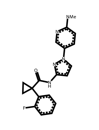 CNc1ccc(-n2ccc(NC(=O)C3(c4ccccc4F)CC3)n2)cn1